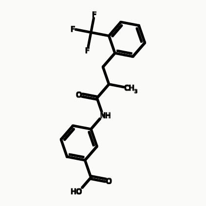 CC(Cc1ccccc1C(F)(F)F)C(=O)Nc1cccc(C(=O)O)c1